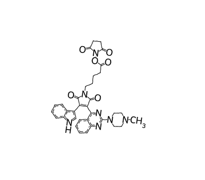 CN1CCN(c2nc(C3=C(c4c[nH]c5ccccc45)C(=O)N(CCCCC(=O)ON4C(=O)CCC4=O)C3=O)c3ccccc3n2)CC1